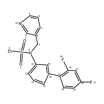 CCS(=O)(=O)N(Cc1cccnc1)c1cccc(-c2ccc(F)cc2F)c1